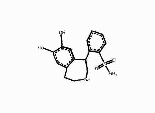 NS(=O)(=O)c1ccccc1C1CNCCc2cc(O)c(O)cc21